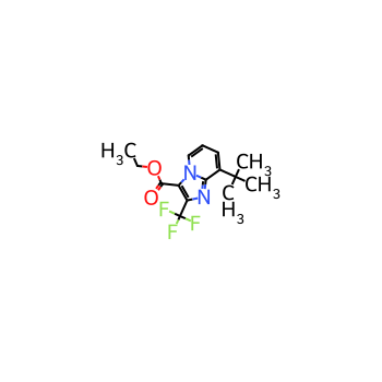 CCOC(=O)c1c(C(F)(F)F)nc2c(C(C)(C)C)cccn12